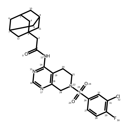 O=C(CC12CC3CC(CC(C3)C1)C2)Nc1ncnc2c1CCN(S(=O)(=O)c1ccc(F)c(Cl)c1)C2